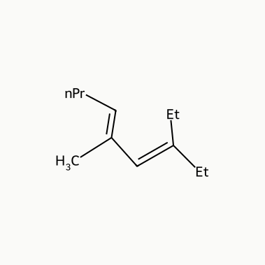 [CH2]CC(=CC(C)=CCCC)CC